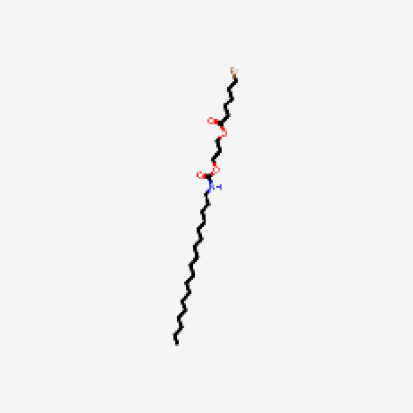 CCCCCCCCCCCCCCCCCCNC(=O)OCCCOC(=O)CCCCCBr